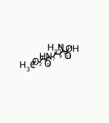 COCCC(=O)NCCCC(N)C(=O)O